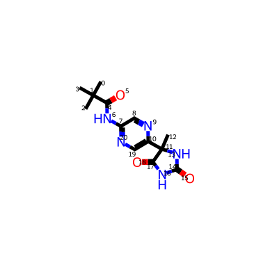 CC(C)(C)C(=O)Nc1cnc(C2(C)NC(=O)NC2=O)cn1